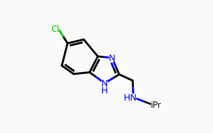 CC(C)NCc1nc2cc(Cl)ccc2[nH]1